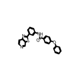 [O-][S+](Nc1cccc(-c2nc3ccncc3s2)c1)c1ccc(Oc2ccccc2)cc1